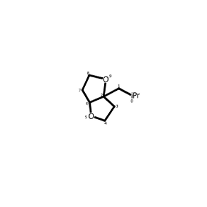 CC(C)CC12CCOC1CCO2